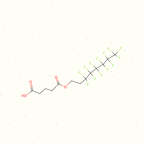 O=C(O)CCCC(=O)OCCC(F)(F)C(F)(F)C(F)(F)C(F)(F)C(F)(F)C(F)(F)F